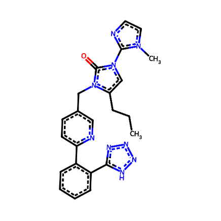 CCCc1cn(-c2nccn2C)c(=O)n1Cc1ccc(-c2ccccc2-c2nnn[nH]2)nc1